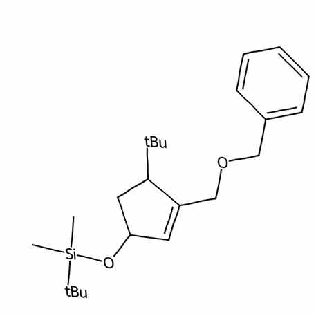 CC(C)(C)C1CC(O[Si](C)(C)C(C)(C)C)C=C1COCc1ccccc1